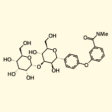 CNC(=O)c1cccc(Oc2ccc([C@H]3O[C@H](CO)[C@@H](O)[C@H](O[C@H]4O[C@H](CO)[C@@H](O)[C@@H](O)[C@H]4O)[C@@H]3O)cc2)c1